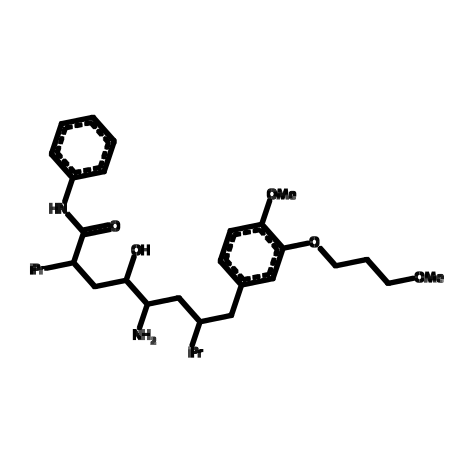 COCCCOc1cc(CC(CC(N)C(O)CC(C(=O)Nc2ccccc2)C(C)C)C(C)C)ccc1OC